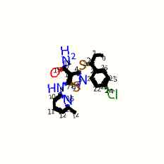 CCC(Sc1nsc(Nc2cccc(C)n2)c1C(N)=O)c1ccc(Cl)cc1